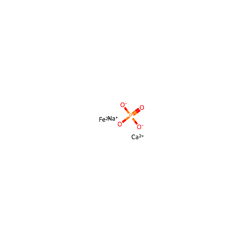 O=P([O-])([O-])[O-].[Ca+2].[Fe+2].[Na+]